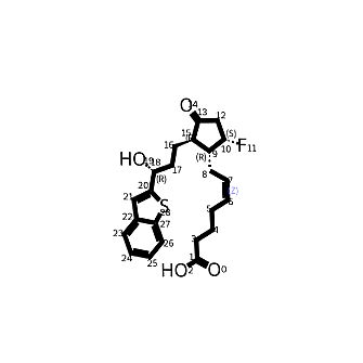 O=C(O)CCC/C=C\C[C@H]1[C@@H](F)CC(=O)[C@@H]1CC[C@@H](O)c1cc2ccccc2s1